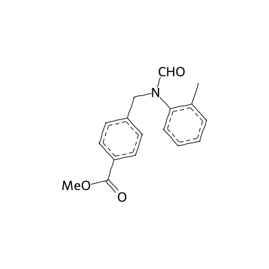 COC(=O)c1ccc(CN(C=O)c2ccccc2C)cc1